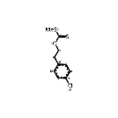 CSC(=S)OCCc1ccc(Cl)cc1